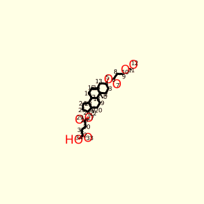 C[C@]12CC[C@H](OC(=O)CCOC=O)CC1=CCC1C2CC[C@@]2(C)C1CC[C@@H]2OC(=O)CCC(=O)O